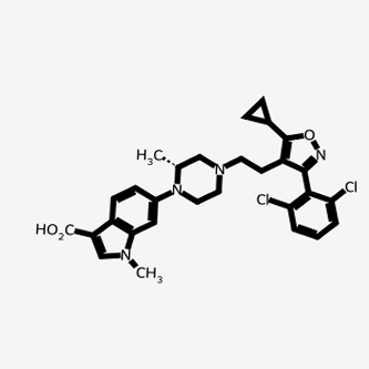 C[C@@H]1CN(CCc2c(-c3c(Cl)cccc3Cl)noc2C2CC2)CCN1c1ccc2c(C(=O)O)cn(C)c2c1